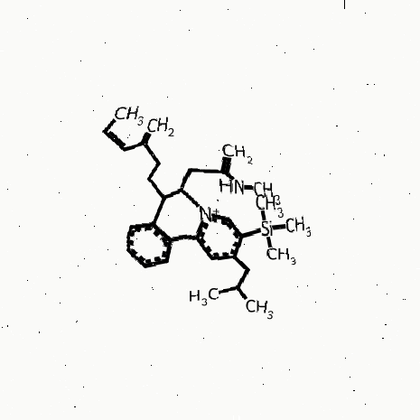 C=C(/C=C\C)CCC1c2ccccc2-c2cc(CC(C)C)c([Si](C)(C)C)c[n+]2C1CC(=C)NC